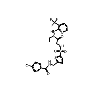 CCN(Nc1ncccc1C(F)(F)F)C(=O)CNS(=O)(=O)c1ccc(CNC(=O)c2ccc(Cl)cc2)s1